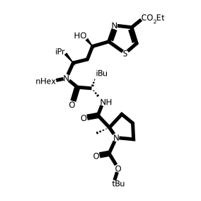 CCCCCCN(C(=O)[C@@H](NC(=O)[C@@]1(C)CCCN1C(=O)OC(C)(C)C)[C@@H](C)CC)[C@H](C[C@@H](O)c1nc(C(=O)OCC)cs1)C(C)C